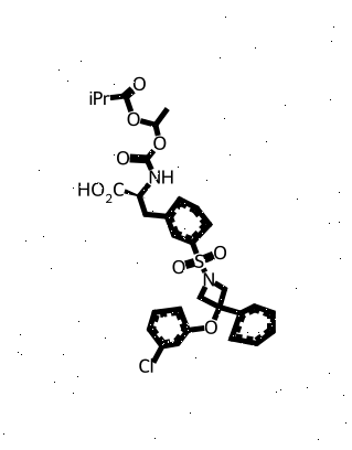 CC(OC(=O)N[C@@H](Cc1cccc(S(=O)(=O)N2CC(Oc3cccc(Cl)c3)(c3ccccc3)C2)c1)C(=O)O)OC(=O)C(C)C